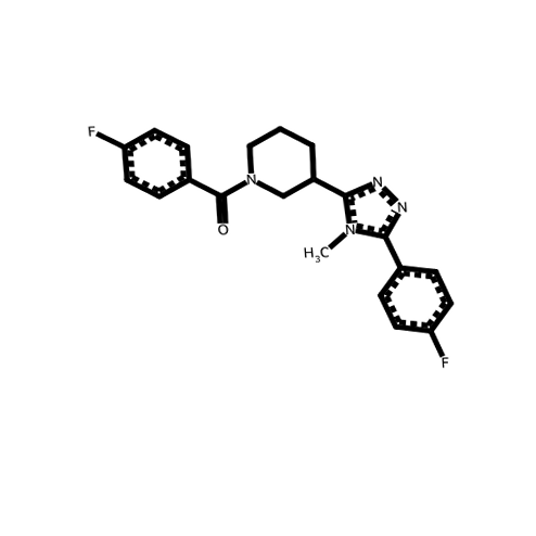 Cn1c(-c2ccc(F)cc2)nnc1C1CCCN(C(=O)c2ccc(F)cc2)C1